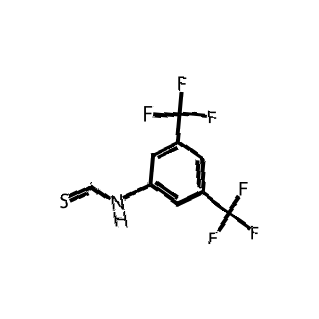 FC(F)(F)c1cc(N[C]=S)cc(C(F)(F)F)c1